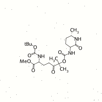 COC(=O)C(CCC(=O)C(C)(C)OC(=O)NC1CC[C@H](C)NC1=O)NC(=O)OC(C)(C)C